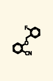 N#Cc1ccccc1OCc1ccccc1F